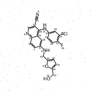 N#Cc1cnc2ccc(NCc3ccc(CO)o3)cc2c1Nc1ccc(F)c(Cl)c1